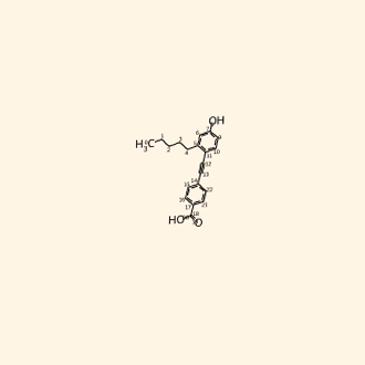 CCCCCc1cc(O)ccc1C#Cc1ccc(C(=O)O)cc1